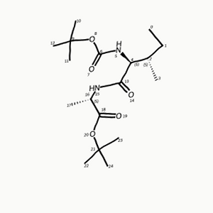 CC[C@H](C)[C@H](NC(=O)OC(C)(C)C)C(=O)N[C@@H](C)C(=O)OC(C)(C)C